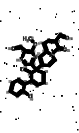 COc1nc(C2(c3ccn4c(=O)c(C=O)ccc4c3)C=CC=C(c3ccccc3Cl)C2Cl)cnc1C=O